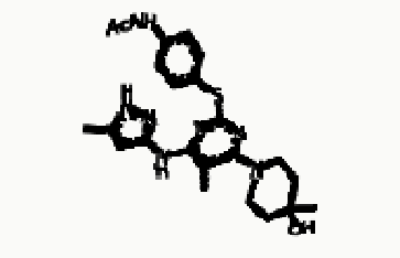 CC(=O)Nc1ccc(Sc2nc(Nc3cc(C)[nH]n3)c(C)c(N3CCC(C)(O)CC3)n2)cc1